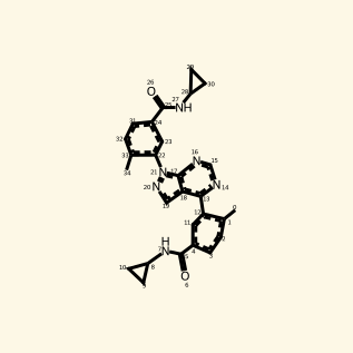 Cc1ccc(C(=O)NC2CC2)cc1-c1ncnc2c1cnn2-c1cc(C(=O)NC2CC2)ccc1C